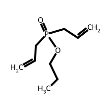 C=CCP(=O)(CC=C)OCCC